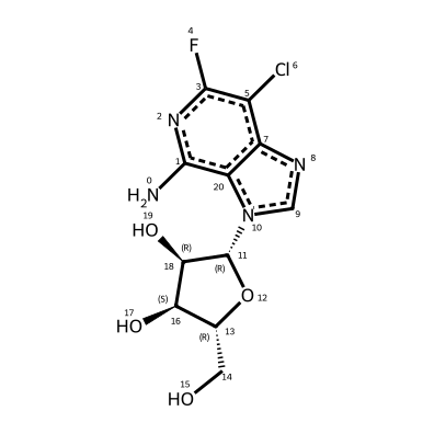 Nc1nc(F)c(Cl)c2ncn([C@@H]3O[C@H](CO)[C@@H](O)[C@H]3O)c12